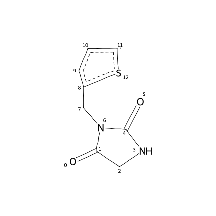 O=C1CNC(=O)N1Cc1cc[c]s1